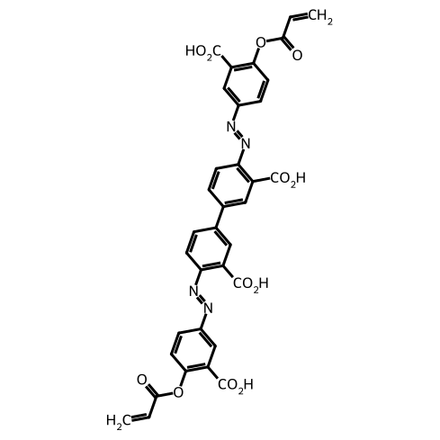 C=CC(=O)Oc1ccc(/N=N/c2ccc(-c3ccc(/N=N/c4ccc(OC(=O)C=C)c(C(=O)O)c4)c(C(=O)O)c3)cc2C(=O)O)cc1C(=O)O